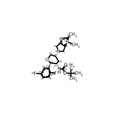 Cc1nc2c(n1C)CN([C@H]1CO[C@H](c3cc(F)ccc3F)[C@@H](NC(=O)OC(C)(C)C)C1)C2